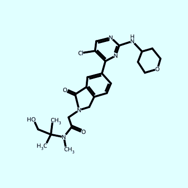 CN(C(=O)CN1Cc2ccc(-c3nc(NC4CCOCC4)ncc3Cl)cc2C1=O)C(C)(C)CO